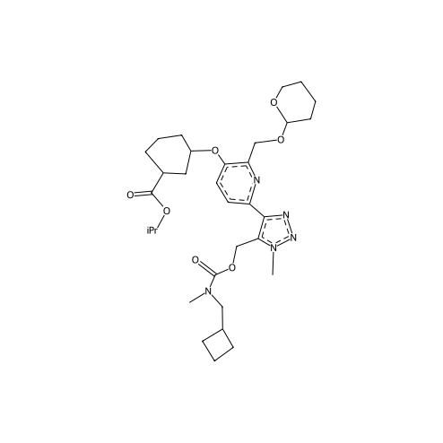 CC(C)OC(=O)C1CCCC(Oc2ccc(-c3nnn(C)c3COC(=O)N(C)CC3CCC3)nc2COC2CCCCO2)C1